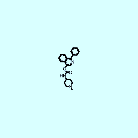 CN1CCC(NC(=O)Oc2cnc(-c3ccccc3)c3ccccc23)CC1